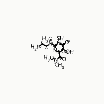 CN(C)C(=O)c1nc(N(C)CCP)n(S)c(=O)c1O